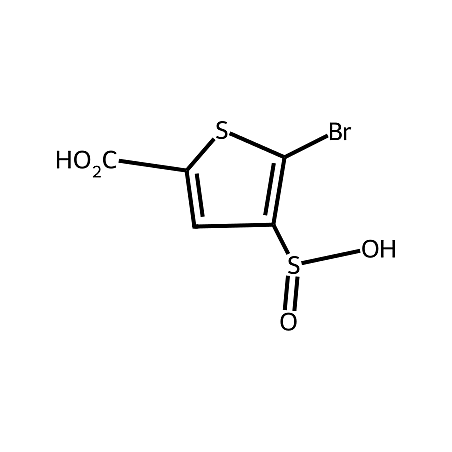 O=C(O)c1cc(S(=O)O)c(Br)s1